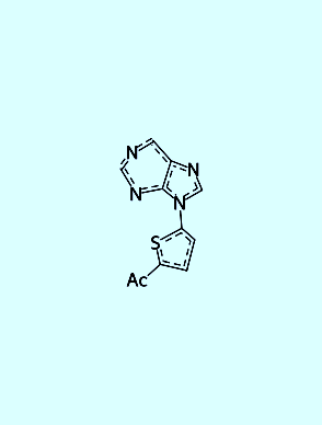 CC(=O)c1ccc(-n2cnc3cncnc32)s1